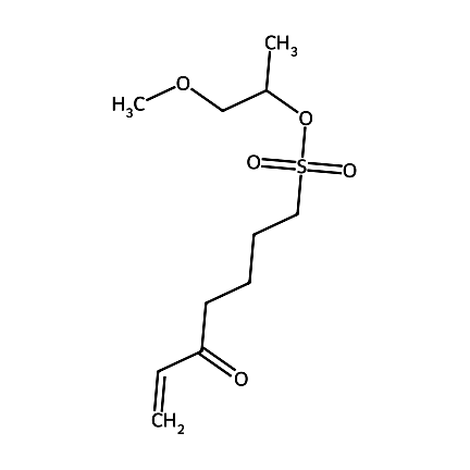 C=CC(=O)CCCCS(=O)(=O)OC(C)COC